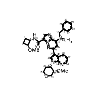 CO[C@H]1CC[C@@H]1NC(=O)c1cnc2c(N(C)Cc3ccccc3)cc(-c3cn([C@H]4CCOC[C@@H]4OC)c4ncccc34)nn12